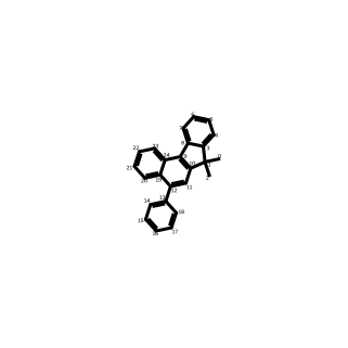 CC1(C)c2ccccc2-c2c1cc(-c1ccccc1)c1ccccc21